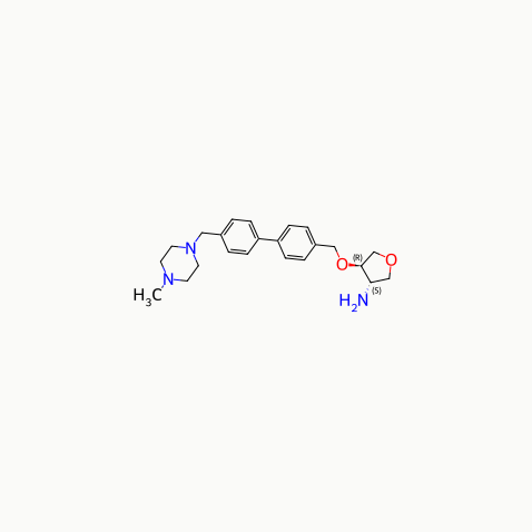 CN1CCN(Cc2ccc(-c3ccc(CO[C@H]4COC[C@@H]4N)cc3)cc2)CC1